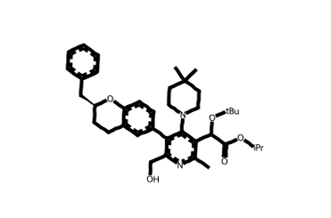 Cc1nc(CO)c(-c2ccc3c(c2)CC[C@@H](Cc2ccccc2)O3)c(N2CCC(C)(C)CC2)c1C(OC(C)(C)C)C(=O)OC(C)C